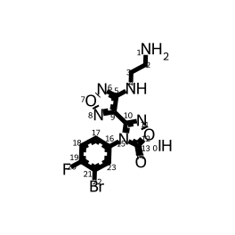 I.NCCNc1nonc1-c1noc(=O)n1-c1ccc(F)c(Br)c1